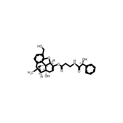 CN1CC[C@]23c4c5ccc(CO)c4O[C@H]2C(OC(=O)CCNC(=O)[C@@H](O)c2ccccc2)=CC[C@@]3(O)[C@H]1C5